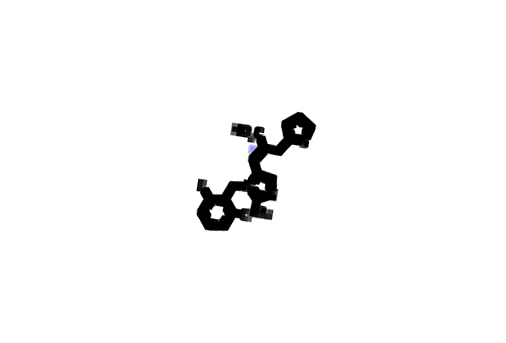 CCCCc1ncc(/C=C(\Cc2cccs2)C(=O)O)n1Cc1c(F)cccc1Cl